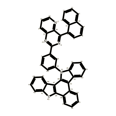 c1cc(-c2nc(-c3cccc4ccccc34)c3ncccc3n2)cc(-n2c3ccccc3c3c4ccccc4c4sc5ccccc5c4c32)c1